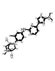 Cc1cc(Nc2nccc(-c3csc(N(C)C)n3)n2)ccc1N1C[C@@H]2C[C@H]1CN2C